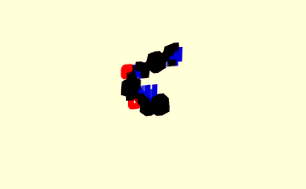 Cc1ccc(C(=O)N2CC(c3ccc(-c4ccnn4C)cc3)C2)cc1NC(=O)c1ccc2ccccc2n1